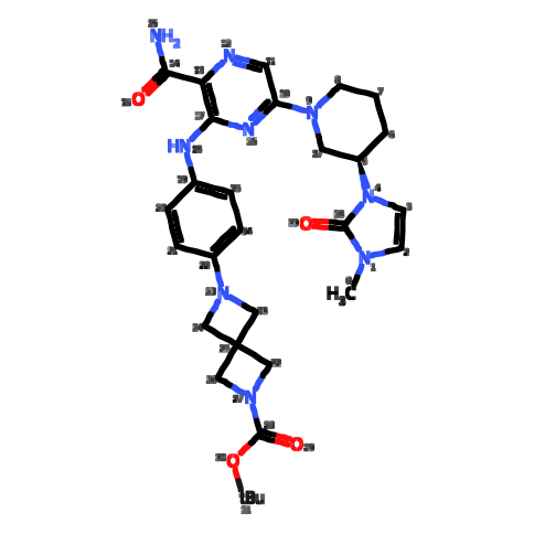 Cn1ccn([C@@H]2CCCN(c3cnc(C(N)=O)c(Nc4ccc(N5CC6(CN(C(=O)OC(C)(C)C)C6)C5)cc4)n3)C2)c1=O